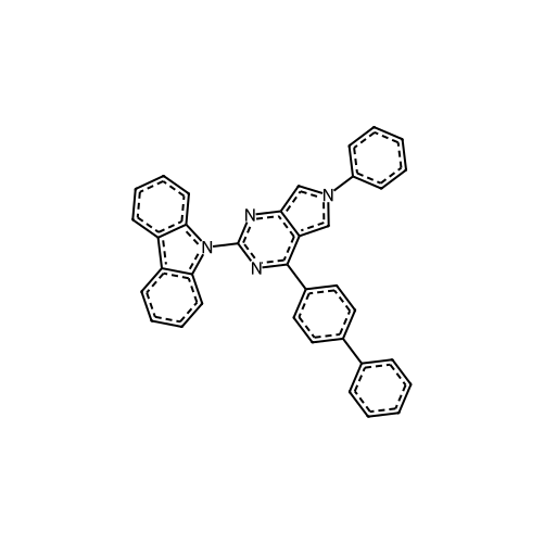 c1ccc(-c2ccc(-c3nc(-n4c5ccccc5c5ccccc54)nc4cn(-c5ccccc5)cc34)cc2)cc1